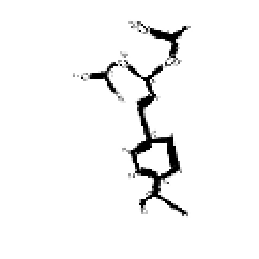 CC(=O)OC(C=Cc1ccc(C(C)C)cc1)OC(C)=O